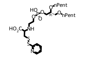 CCCCCOC[C@H](COP(=O)(O)OCCNC(CSSc1ccccn1)C(=O)O)OCCCCC